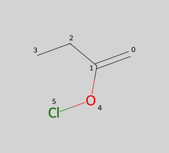 C=C(CC)OCl